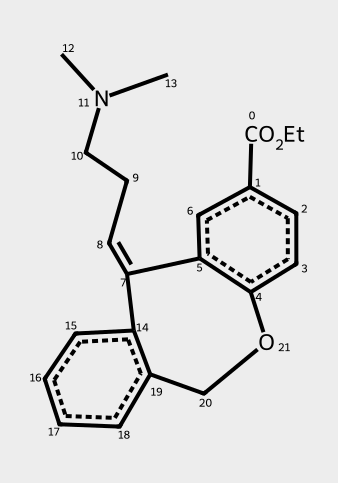 CCOC(=O)c1ccc2c(c1)/C(=C\CCN(C)C)c1ccccc1CO2